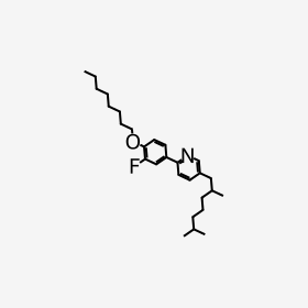 CCCCCCCCOc1ccc(-c2ccc(CC(C)CCCC(C)C)cn2)cc1F